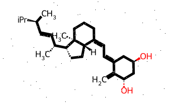 C=C1/C(=C/C=C2/CCC[C@]3(C)[C@@H]([C@H](C)C=C[C@H](C)C(C)C)CC[C@@H]23)C[C@@H](O)C[C@@H]1O